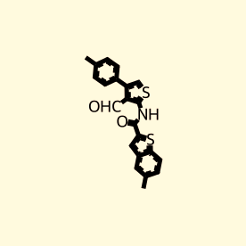 Cc1ccc(-c2csc(NC(=O)c3cc4cc(C)ccc4s3)c2C=O)cc1